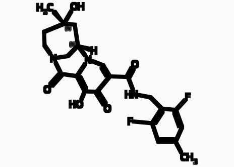 Cc1cc(F)c(CNC(=O)c2cn3c(c(O)c2=O)C(=O)N2CC[C@](C)(O)C[C@H]3C2)c(F)c1